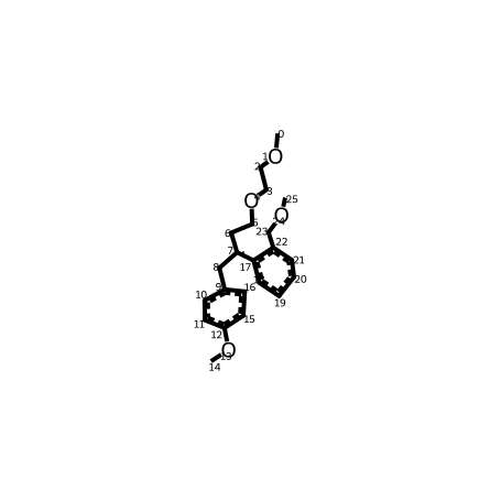 COCCOCC[C](Cc1ccc(OC)cc1)c1ccccc1COC